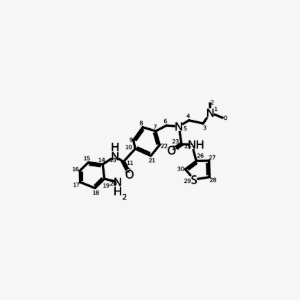 CN(C)CCN(Cc1ccc(C(=O)Nc2ccccc2N)cc1)C(=O)Nc1ccsc1